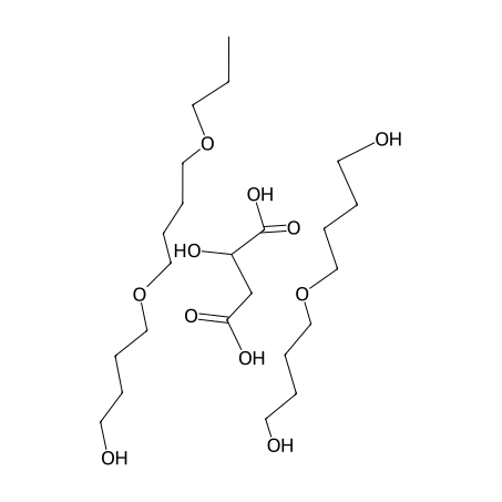 CCCOCCCCOCCCCO.O=C(O)CC(O)C(=O)O.OCCCCOCCCCO